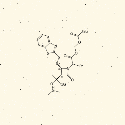 CC(C)C(C(=O)OCOC(=O)C(C)(C)C)N1C(=O)[C@@H](C(C)(O[SiH](C)C)C(C)(C)C)[C@H]1SSc1nc2ccccc2s1